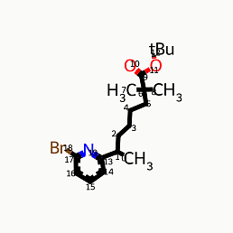 CC(CCCCC(C)(C)C(=O)OC(C)(C)C)c1cccc(Br)n1